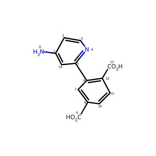 Nc1ccnc(-c2cc(C(=O)O)ccc2C(=O)O)c1